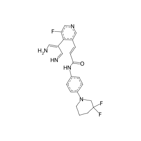 N=C/C(=C\N)c1c(F)cncc1/C=C/C(=O)Nc1ccc(N2CCCC(F)(F)C2)cc1